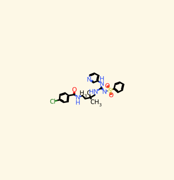 CC(C)(CCNC(=O)c1ccc(Cl)cc1)CNC(=NS(=O)(=O)c1ccccc1)Nc1cccnc1